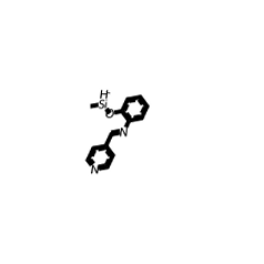 C[SiH](C)Oc1ccccc1N=Cc1ccncc1